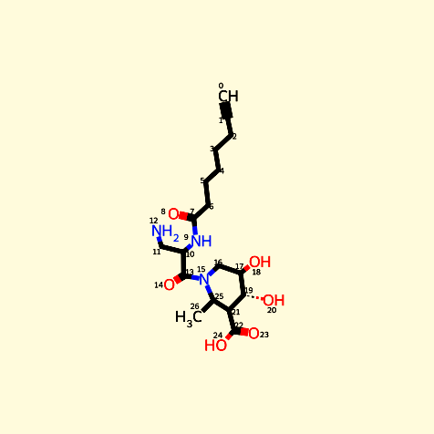 C#CCCCCCC(=O)NC(CN)C(=O)N1CC(O)[C@H](O)C(C(=O)O)C1C